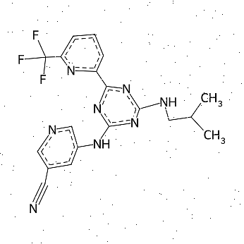 CC(C)CNc1nc(Nc2cncc(C#N)c2)nc(-c2cccc(C(F)(F)F)n2)n1